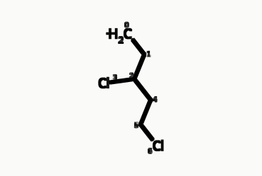 [CH2]CC(Cl)CCCl